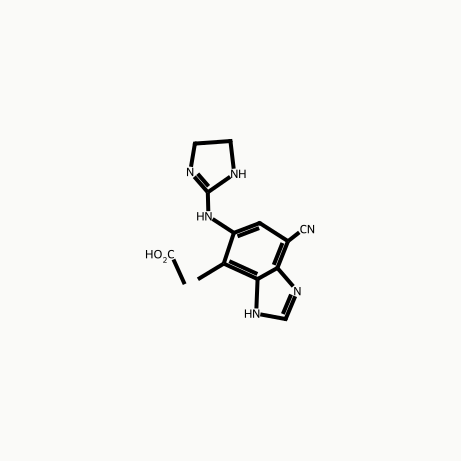 CC(=O)O.Cc1c(NC2=NCCN2)cc(C#N)c2nc[nH]c12